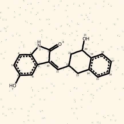 O=C1Nc2ccc(O)cc2C1=CC1Cc2ccccc2C(O)C1